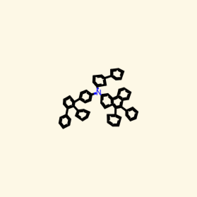 c1ccc(-c2cccc(N(c3ccc(-c4cccc(-c5ccccc5)c4-c4ccccc4)cc3)c3ccc4c(-c5ccccc5)c(-c5ccccc5)c5ccccc5c4c3)c2)cc1